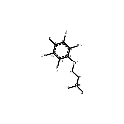 Cc1c(F)c(F)c(OCCN(C)C)c(F)c1F